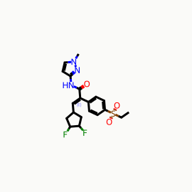 CCS(=O)(=O)c1ccc(/C(=C\C2CC(F)C(F)C2)C(=O)Nc2ccn(C)n2)cc1